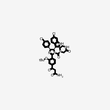 CC(C)(C)Oc1cc(C(=O)CC(N)=O)ccc1C1=N[C@@H](c2ccc(Cl)cc2)[C@@H](c2c[nH]c3cc(Cl)ccc23)N1C(=O)N1CCNC(=O)C1